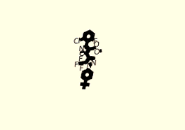 COC(=O)c1c(-c2c(F)cccc2Cl)noc1-c1cnn(-c2ccc(C(C)(C)C)cc2)c1C(F)(F)F